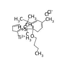 CCCCOC1([Si](C)(C)C2=[C]([Ti+2])CC=C2)CC=C(C)C=C1C(C)(C)C.[Cl-].[Cl-]